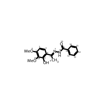 COc1ccc(/C(C)=N/NC(=O)c2ccccc2)c(O)c1OC